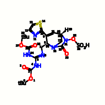 CC(C)(C)OC(=O)NC(=NC[C@@H]1C(c2nccs2)=C[C@@H]2CN1C(=O)N2OS(=O)(=O)O)NC(=O)OC(C)(C)C